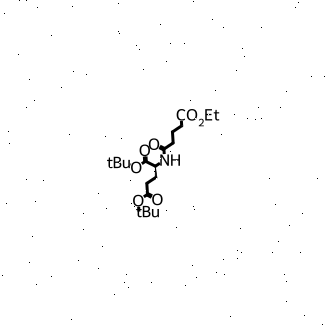 CCOC(=O)CCCC(=O)N[C@@H](CCC(=O)OC(C)(C)C)C(=O)OC(C)(C)C